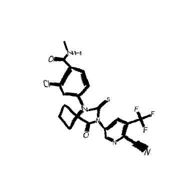 CNC(=O)c1ccc(N2C(=S)N(c3cnc(C#N)c(C(F)(F)F)c3)C(=O)C23CCC3)cc1Cl